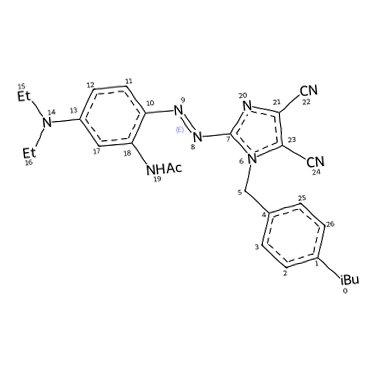 CCC(C)c1ccc(Cn2c(/N=N/c3ccc(N(CC)CC)cc3NC(C)=O)nc(C#N)c2C#N)cc1